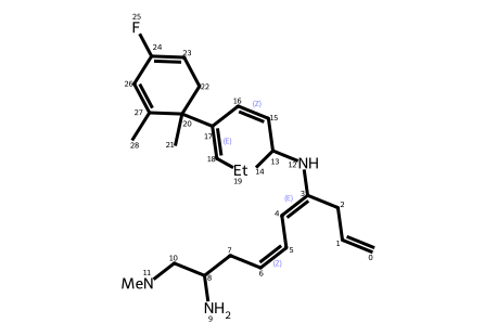 C=CC/C(=C\C=C/CC(N)CNC)NC(C)/C=C\C(=C/CC)C1(C)CC=C(F)C=C1C